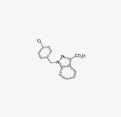 CCOC(=O)c1nn(Cc2ccc(Cl)cc2)c2ccccc12